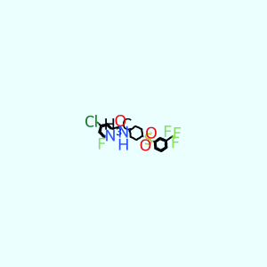 CC1(NC(=O)c2cc(Cl)cc(F)n2)CCC(S(=O)(=O)c2cccc(C(F)(F)F)c2)CC1